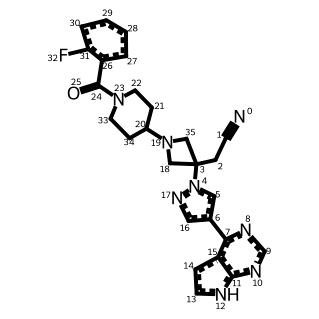 N#CCC1(n2cc(-c3ncnc4[nH]ccc34)cn2)CN(C2CCN(C(=O)c3ccccc3F)CC2)C1